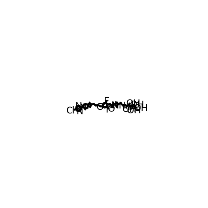 O=C(Cc1c(F)cc(OCCCC2CC3(CCN(c4ncc(Cl)cn4)CC3)C2)cc1F)N1CC(CNCC(O)C(O)C(O)C(O)CO)C1